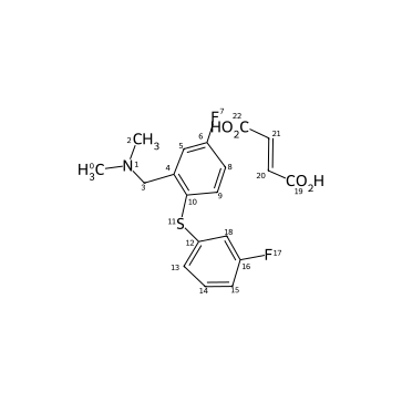 CN(C)Cc1cc(F)ccc1Sc1cccc(F)c1.O=C(O)C=CC(=O)O